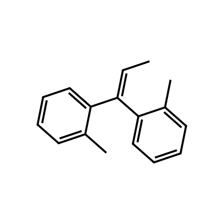 CC=C(c1ccccc1C)c1ccccc1C